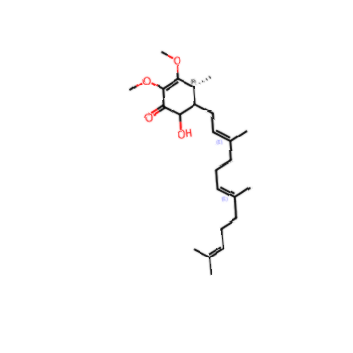 COC1=C(OC)[C@H](C)C(C/C=C(\C)CC/C=C(\C)CCC=C(C)C)C(O)C1=O